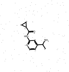 CC(N)c1ccnc(NC(=O)C2CC2)c1